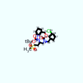 CC(C)(C)OC(=O)NC(CCS(C)(=O)=O)CN(Cc1cccc(Cl)c1)C(=O)OCc1ccccc1